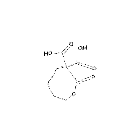 O=C(O)C1(C(=O)O)CCCCOC1=O